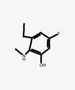 CCc1cc(F)cc(O)c1NC